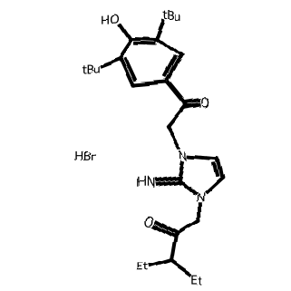 Br.CCC(CC)C(=O)Cn1ccn(CC(=O)c2cc(C(C)(C)C)c(O)c(C(C)(C)C)c2)c1=N